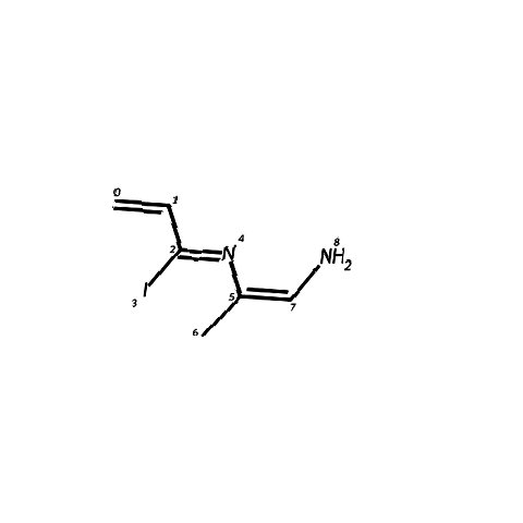 C=C/C(I)=N/C(C)=C\N